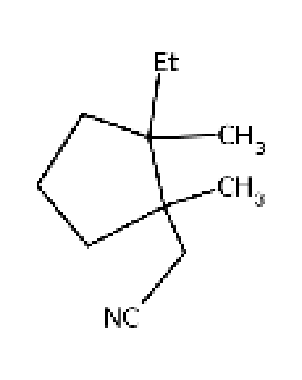 CCC1(C)CCCC1(C)CC#N